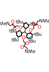 CNCC(=O)C(=O)COc1c(C(c2cc(C(C)(C)C)cc(C(C)(C)C)c2OCC(=O)C(=O)CNC)c2cc(C(C)(C)C)cc(C(C)(C)C)c2OCC(=O)C(=O)CNC)cc(C(C)(C)C)cc1C(C)(C)C